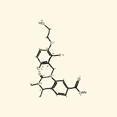 COC(=O)c1ccc2c(c1)N(Cc1c(Cl)ccc(OCCO)c1F)C(=O)N(C)C2C